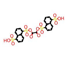 O=C(OS(=O)(=O)c1cccc2c(S(=O)(=O)O)cccc12)C(=O)OS(=O)(=O)c1cccc2c(S(=O)(=O)O)cccc12